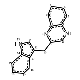 [c]1nc2ccccc2nc1Cc1c[nH]c2ccccc12